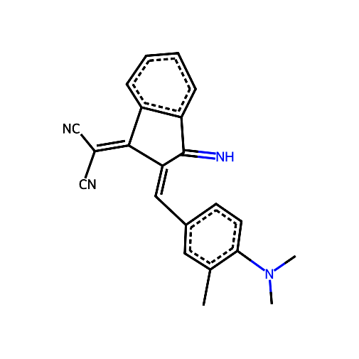 Cc1cc(/C=C2\C(=N)c3ccccc3C2=C(C#N)C#N)ccc1N(C)C